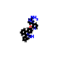 Nc1nccc(-c2cccnc2Oc2ccc(N3NC=C4CCCC4=C3c3ccccc3)cc2)n1